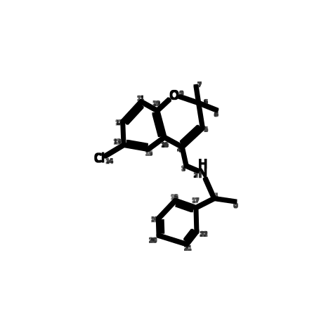 CC(NCC1=CC(C)(C)Oc2ccc(Cl)cc21)c1ccccc1